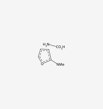 CNc1ccco1.NC(=O)O